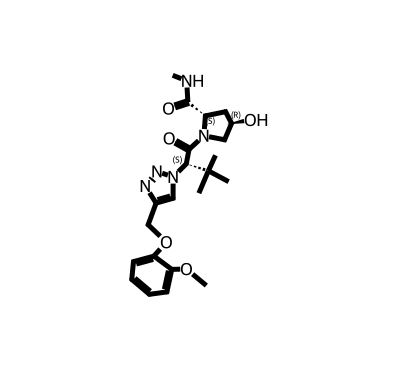 CNC(=O)[C@@H]1C[C@@H](O)CN1C(=O)[C@@H](n1cc(COc2ccccc2OC)nn1)C(C)(C)C